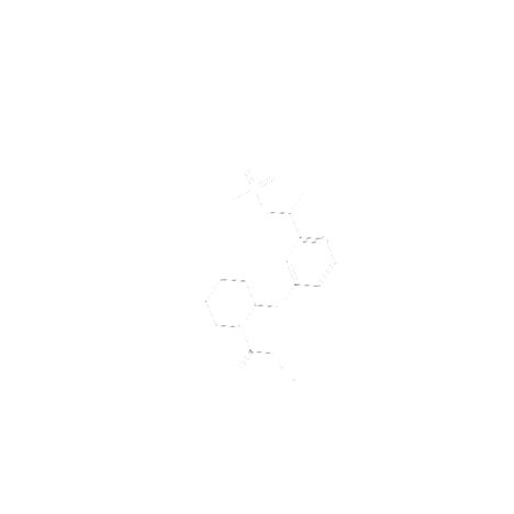 CC(OS(C)(=O)=O)c1nccc(OC2CCCCN2C(=O)OC(C)(C)C)n1